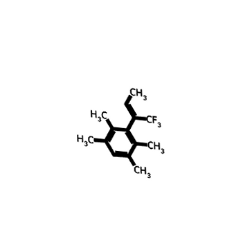 CC=C(c1c(C)c(C)cc(C)c1C)C(F)(F)F